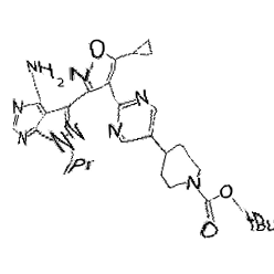 CC(C)n1nc(-c2noc(C3CC3)c2-c2ncc(C3CCN(C(=O)OC(C)(C)C)CC3)cn2)c2c(N)ncnc21